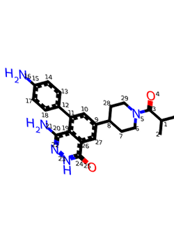 CC(C)C(=O)N1CCC(c2cc(-c3ccc(N)cc3)c3c(N)n[nH]c(=O)c3c2)CC1